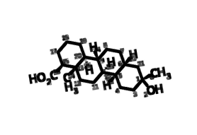 C[C@@]1(O)CC[C@H]2[C@H](CC[C@@H]3[C@@H]2CC[C@]2(C)[C@@H](C(=O)O)CCC[C@@H]32)C1